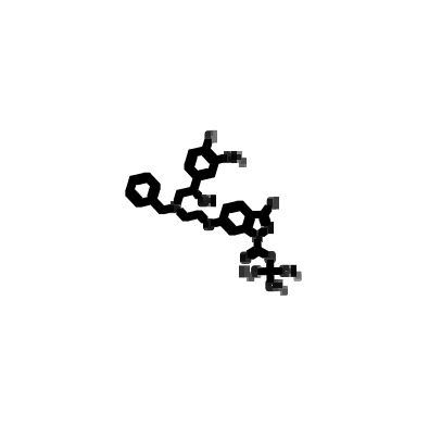 CC(C)(C)OC(=O)n1nc(Cl)c2ccc(OCCN(Cc3ccccc3)C[C@H](O)c3ccc(Cl)c(N)c3)cc21